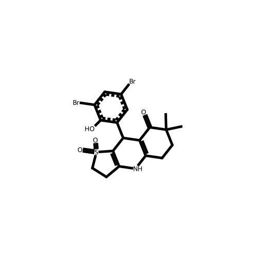 CC1(C)CCC2=C(C1=O)C(c1cc(Br)cc(Br)c1O)C1=C(CCS1(=O)=O)N2